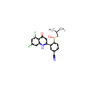 CC(C)C[S+]([O-])c1ccc(C#N)cc1-c1cc(=O)c2c(F)cc(F)cc2[nH]1